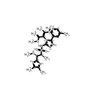 C=C(OC)/C(=C(\C)OC)n1c(NS(=O)(=O)[C@@H](C)[C@H](OC)c2nc(C)c(C)s2)nnc1-c1cncc(C)c1